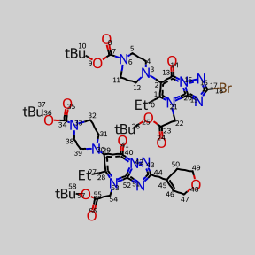 CCc1c(N2CCN(C(=O)OC(C)(C)C)CC2)c(=O)n2nc(Br)nc2n1CC(=O)OC(C)(C)C.CCc1c(N2CCN(C(=O)OC(C)(C)C)CC2)c(=O)n2nc(C3=CCOCC3)nc2n1CC(=O)OC(C)(C)C